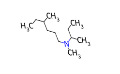 CCC(C)CCCN(C)C(C)CC